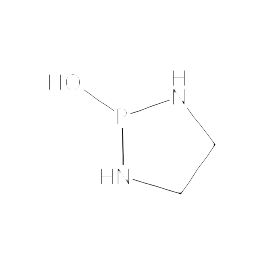 OP1NCCN1